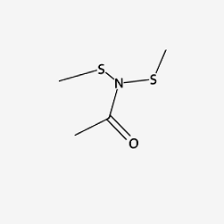 CSN(SC)C(C)=O